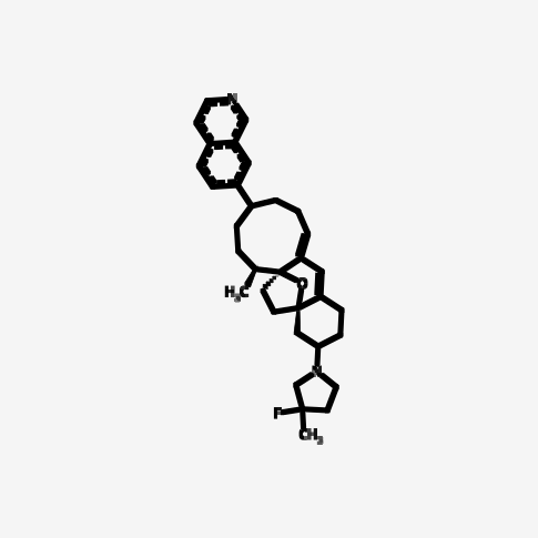 C[C@H]1CCC(c2ccc3ccncc3c2)CC/C=C2/C=C3CCC(N4CCC(C)(F)C4)C[C@]34CC[C@@]21O4